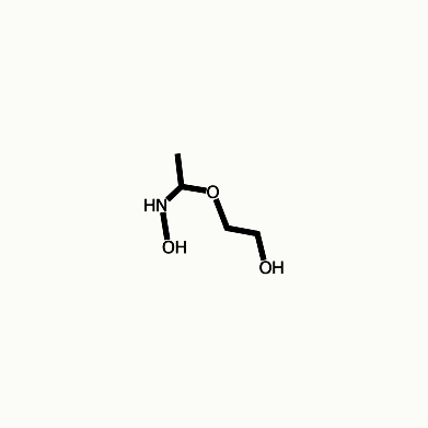 CC(NO)OCCO